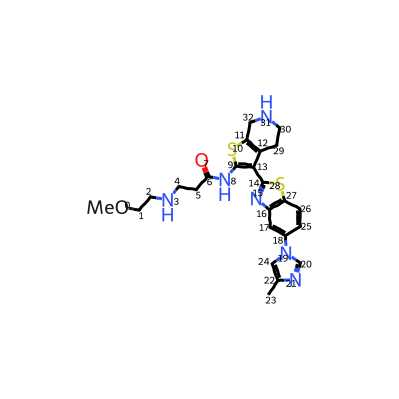 COCCNCCC(=O)Nc1sc2c(c1-c1nc3cc(-n4cnc(C)c4)ccc3s1)CCNC2